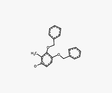 Cc1c(OCc2ccccc2)c(OCc2ccccc2)cc[n+]1[O-]